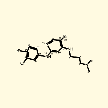 CN(C)CCCNc1nc(Nc2ccc(F)c(Cl)c2)ncc1Br